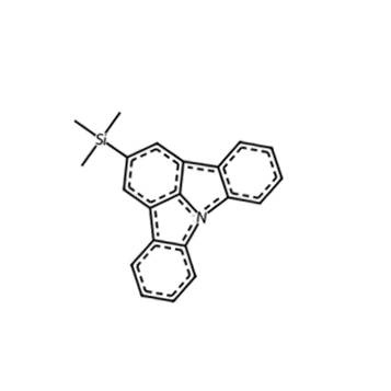 C[Si](C)(C)c1cc2c3ccccc3n3c4ccccc4c(c1)c23